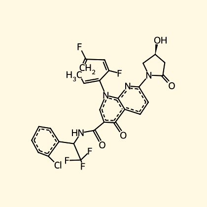 C=C(F)/C=C(F)\C(=C/C)n1cc(C(=O)NC(c2ccccc2Cl)C(F)(F)F)c(=O)c2ccc(N3C[C@@H](O)CC3=O)nc21